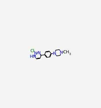 CN1CCN(c2ccc(C3=NN(Cl)NC=C3)cc2)CC1